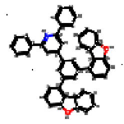 c1ccc(-c2cc(-c3cc(-c4cccc5oc6ccccc6c45)cc(-c4cccc5oc6ccccc6c45)c3)cc(-c3ccccc3)n2)cc1